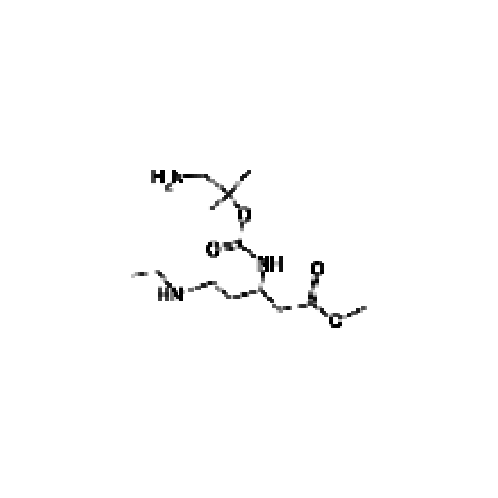 CCNCCC(CC(=O)OC)NC(=O)OC(C)(C)CN